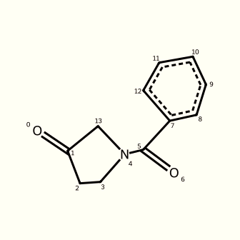 O=C1CCN(C(=O)c2ccccc2)C1